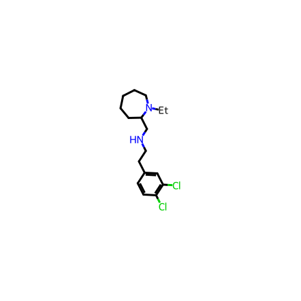 CCN1CCCCCC1CNCCc1ccc(Cl)c(Cl)c1